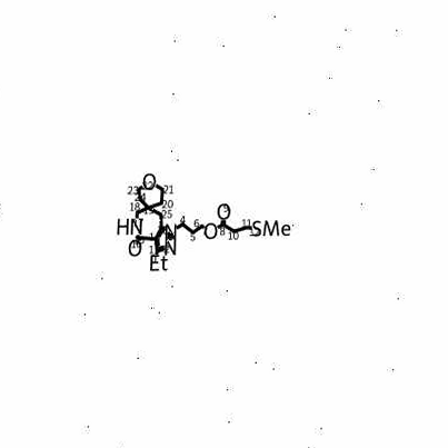 CCc1nn(CCCOC(=O)CCSC)c2c1C(=O)NCC1(CCOCC1)C2